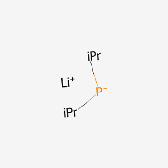 CC(C)[P-]C(C)C.[Li+]